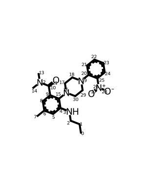 CCCNc1cc(C)cc(C(=O)N(C)C)c1N1CCN(c2ccccc2[N+](=O)[O-])CC1